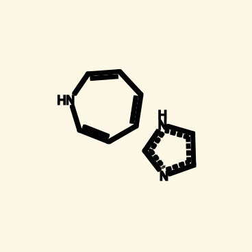 C1=CC=CNC=C1.c1c[nH]cn1